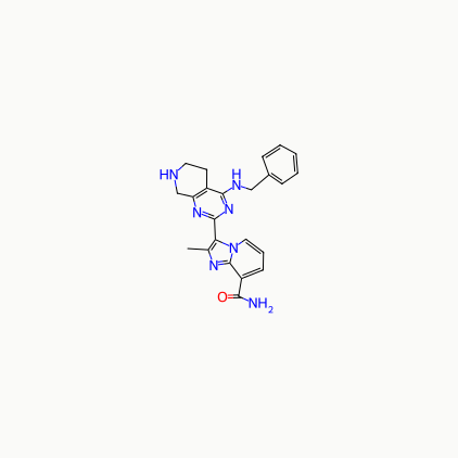 Cc1nc2c(C(N)=O)cccn2c1-c1nc2c(c(NCc3ccccc3)n1)CCNC2